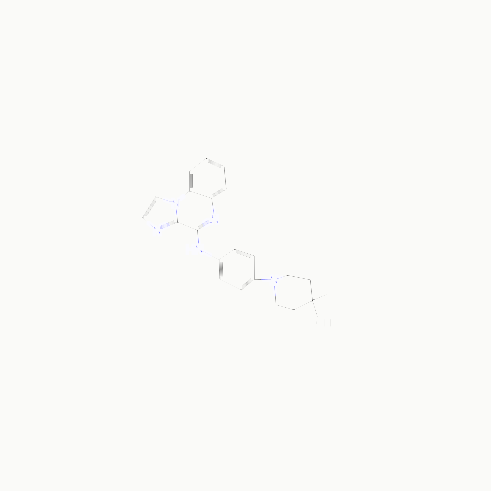 CC1(C)CCN(c2ccc(Nc3nc4ccccc4n4ccnc34)cc2)CC1